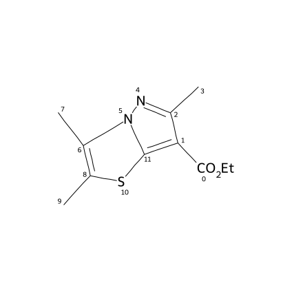 CCOC(=O)c1c(C)nn2c(C)c(C)sc12